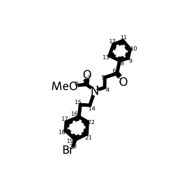 COC(=O)N(CCC(=O)c1ccccc1)CCc1ccc(Br)cc1